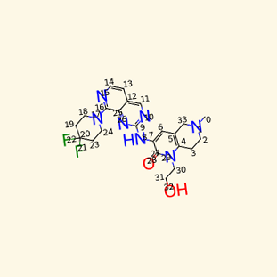 CN1CCc2c(cc(Nc3ncc4ccnc(N5CCC(F)(F)CC5)c4n3)c(=O)n2CCO)C1